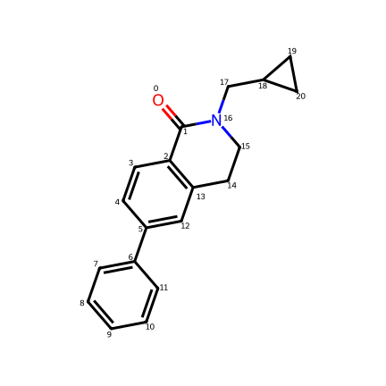 O=C1c2ccc(-c3ccccc3)cc2CCN1CC1CC1